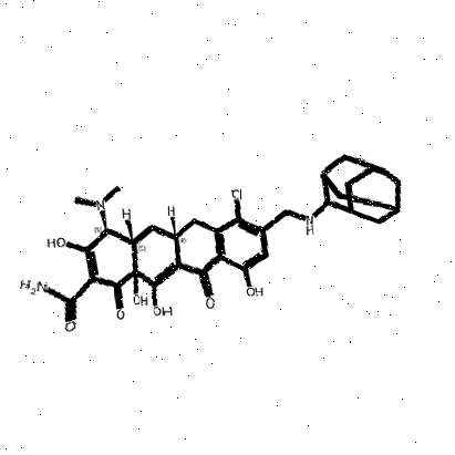 CN(C)[C@@H]1C(O)=C(C(N)=O)C(=O)C2(O)C(O)=C3C(=O)c4c(O)cc(CNC5C6CC7CC(C6)CC5C7)c(Cl)c4C[C@H]3C[C@@H]12